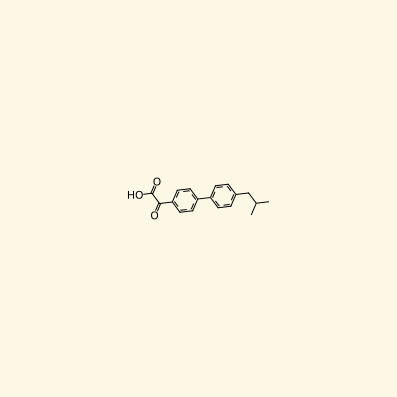 CC(C)Cc1ccc(-c2ccc(C(=O)C(=O)O)cc2)cc1